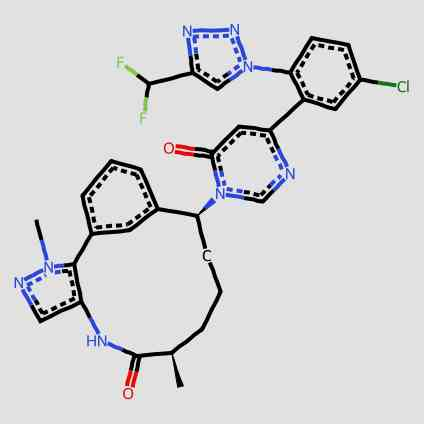 C[C@@H]1CCC[C@H](n2cnc(-c3cc(Cl)ccc3-n3cc(C(F)F)nn3)cc2=O)c2cccc(c2)-c2c(cnn2C)NC1=O